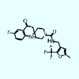 Cc1cc(CNC(=O)N2CCC3(CC2)CC(=O)c2cc(F)ccc2N3)c(C(F)(F)F)o1